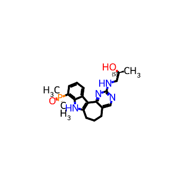 C[C@H](O)CNc1ncc2c(n1)-c1c([nH]c3c(P(C)(C)=O)cccc13)CCC2